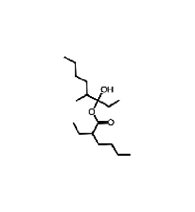 CCCCC(CC)C(=O)OC(O)(CC)C(C)CCCC